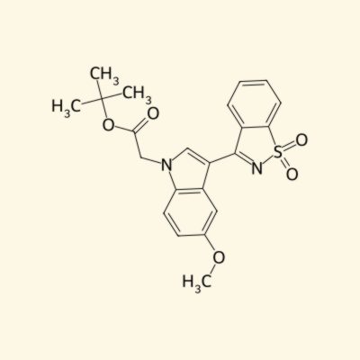 COc1ccc2c(c1)c(C1=NS(=O)(=O)c3ccccc31)cn2CC(=O)OC(C)(C)C